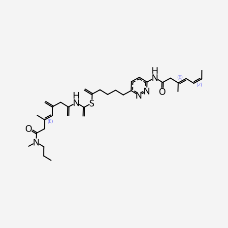 C=C(/C=C(\C)CC(=O)N(C)CCC)CC(=C)NC(=C)SC(=C)CCCCc1ccc(NC(=O)C/C(C)=C/C=C\C)nn1